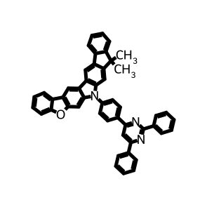 CC1(C)c2ccccc2-c2cc3c4cc5c(cc4n(-c4ccc(-c6cc(-c7ccccc7)nc(-c7ccccc7)n6)cc4)c3cc21)oc1ccccc15